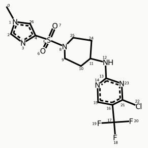 Cn1cnc(S(=O)(=O)N2CCC(Nc3ncc(C(F)(F)F)c(Cl)n3)CC2)c1